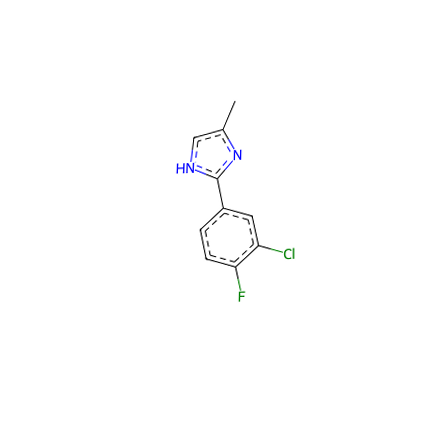 Cc1c[nH]c(-c2ccc(F)c(Cl)c2)n1